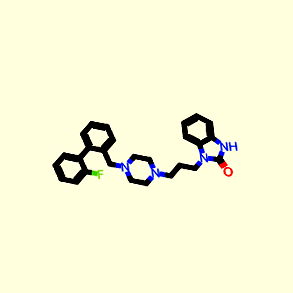 O=c1[nH]c2ccccc2n1CCCN1CCN(Cc2ccccc2-c2ccccc2F)CC1